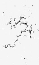 O=C(O)CCC/C=C/C=C1\C(=O)C=CC1/C=C/C(O)C1CCCCC1